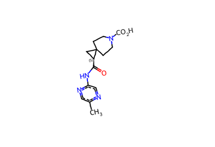 Cc1cnc(NC(=O)[C@H]2CC23CCN(C(=O)O)CC3)cn1